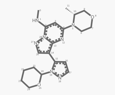 CNc1cc(N2CCOC[C@H]2C)nc2c(-c3ccnn3C3CCCCO3)cnn12